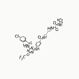 O=C(NCCCCNC(=O)c1ccc(Nc2nc(NC3(c4ccc(Cl)cc4)CC3)nc(OCC(F)(F)F)n2)cc1)C(=O)Nc1nccs1